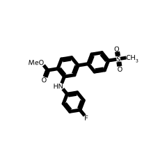 COC(=O)c1ccc(-c2ccc(S(C)(=O)=O)cc2)cc1Nc1ccc(F)cc1